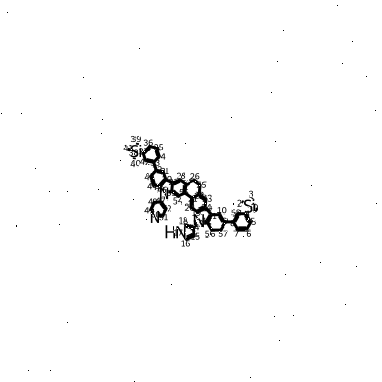 C[Si](C)(C)c1cccc(C2=Cc3c(n(-c4cc[nH]c4)c4cc5c(cc34)CCc3cc4c6cc(-c7cccc([Si](C)(C)C)c7)ccc6n(-c6ccncc6)c4cc3-5)CC2)c1